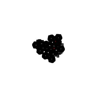 CC(C)(C)c1cc2c(-c3cccc4c3C(C)(C)c3ccccc3-4)c(-c3cccc4c3C(C)(C)c3ccccc3-4)c3cc(C(C)(C)C)cc4c(-c5cccc6c5C(C)(C)c5ccccc5-6)c(-c5cccc6c5C(C)(C)c5ccccc5-6)c(c1)c2c34